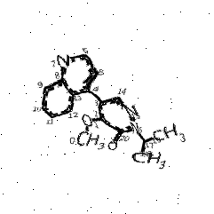 COc1c(-c2ccnc3ccccc23)cnn(C(C)C)c1=O